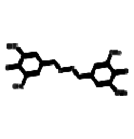 COC1=CC(=CN=NC=C2C=C(C=O)C(=O)C(C=O)=C2)C=C(OC)C1=O